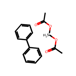 CC(=O)O[SiH2]OC(C)=O.c1ccc(-c2ccccc2)cc1